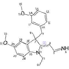 CCN1/C(=C\C=N)C(C)(Cc2cccc(OC)c2)c2cc(OC)ccc21